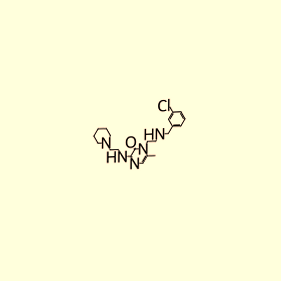 Cc1cnc(NCCN2CCCCC2)c(=O)n1CCNCc1cccc(Cl)c1